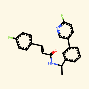 CC(NC(=O)C=Cc1ccc(F)cc1)c1cccc(-c2ccc(F)nc2)c1